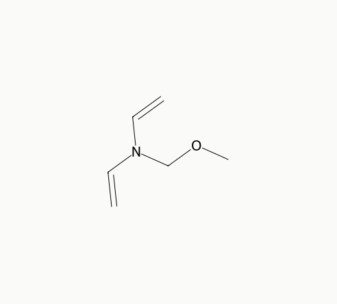 C=CN(C=C)COC